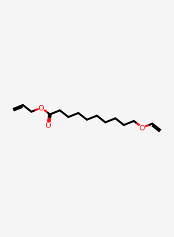 C=CCOC(=O)CCCCCCCCCOC=C